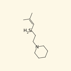 CC(C)=C[SiH2]CCN1CCCCC1